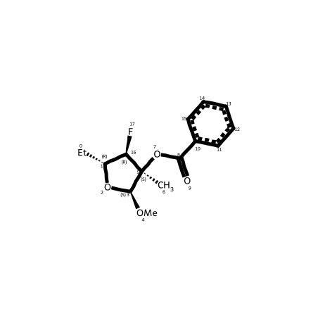 CC[C@H]1O[C@H](OC)[C@](C)(OC(=O)c2ccccc2)[C@@H]1F